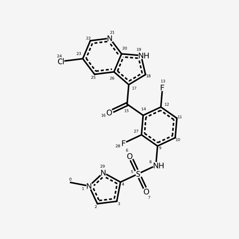 Cn1ccc(S(=O)(=O)Nc2ccc(F)c(C(=O)c3c[nH]c4ncc(Cl)cc34)c2F)n1